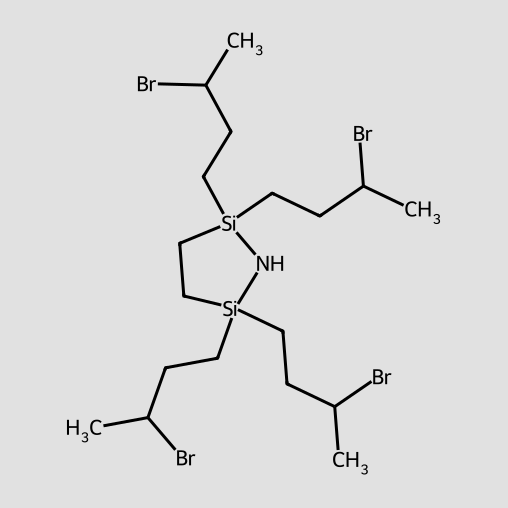 CC(Br)CC[Si]1(CCC(C)Br)CC[Si](CCC(C)Br)(CCC(C)Br)N1